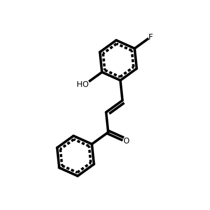 O=C(C=Cc1cc(F)ccc1O)c1ccccc1